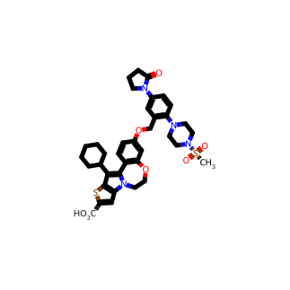 CS(=O)(=O)N1CCN(c2ccc(N3CCCC3=O)cc2COc2ccc3c(c2)OCCn2c-3c(C3CCCCC3)c3sc(C(=O)O)cc32)CC1